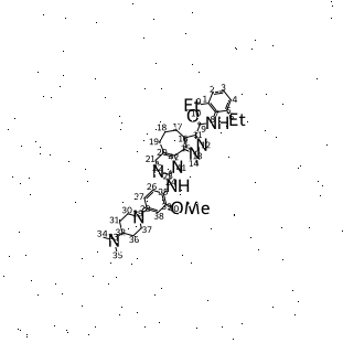 CCc1cccc(CC)c1NC(=O)c1nn(C)c2c1CCCc1cnc(Nc3ccc(N4CCC(N(C)C)CC4)cc3OC)nc1-2